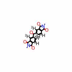 [2H]c1c([2H])c2c(c([2H])c1C(=O)c1c([2H])c([2H])c3c(c1[2H])C(=O)N(C)C3=O)C(=O)N(C)C2=O